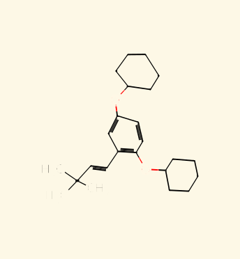 CC(C)(C)/C=C/c1cc(OC2CCCCC2)ccc1OC1CCCCC1